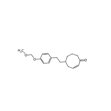 COCOc1ccc(CCC2C/C=C\C(=O)CCC2)cc1